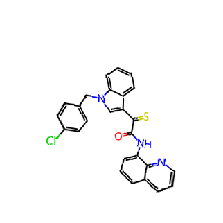 O=C(Nc1cccc2cccnc12)C(=S)c1cn(Cc2ccc(Cl)cc2)c2ccccc12